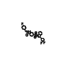 O=C(NCc1ccc(F)cc1)c1ccc(S(=O)(=O)n2cc(C3CCC(F)(F)C3)c3ccccc32)cc1